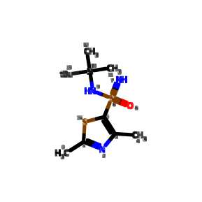 Cc1nc(C)c(S(=N)(=O)N[Si](C)(C)C(C)(C)C)s1